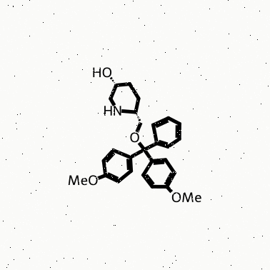 COc1ccc(C(OC[C@H]2CC[C@@H](O)CN2)(c2ccccc2)c2ccc(OC)cc2)cc1